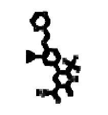 NC(=O)c1cc(-c2ccc(OCN3COC=CO3)c(C3CC3)c2)c(C(F)(F)F)[nH]c1=O